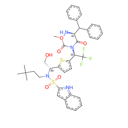 COC(=O)N(C(=O)[C@@H](N)C(c1ccccc1)c1ccccc1)[C@H](c1ccc([C@@H](CO)N(CCC(C)(C)C)S(=O)(=O)c2cc3ccccc3[nH]2)s1)C(F)(F)F